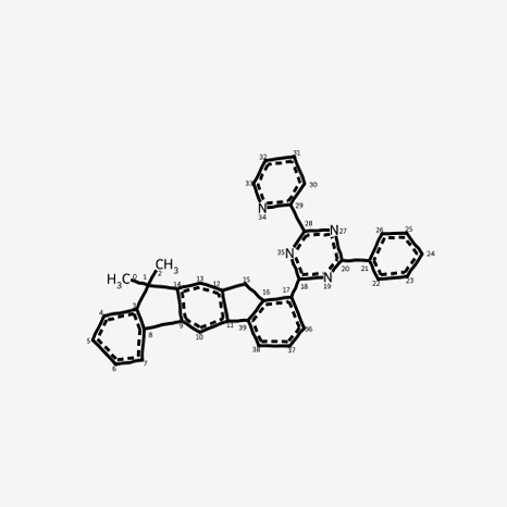 CC1(C)c2ccccc2-c2cc3c(cc21)Cc1c(-c2nc(-c4ccccc4)nc(-c4ccccn4)n2)cccc1-3